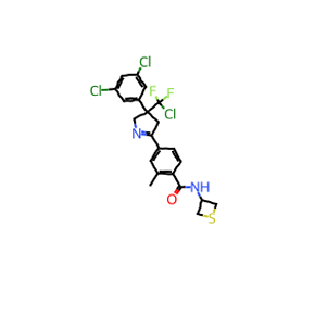 Cc1cc(C2=NCC(c3cc(Cl)cc(Cl)c3)(C(F)(F)Cl)C2)ccc1C(=O)NC1CSC1